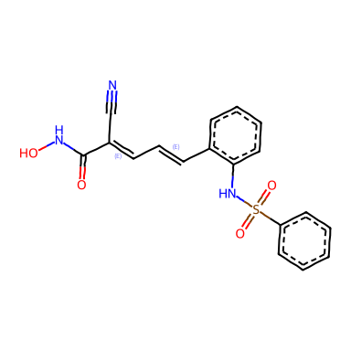 N#C/C(=C\C=C\c1ccccc1NS(=O)(=O)c1ccccc1)C(=O)NO